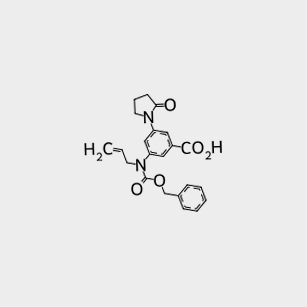 C=CCN(C(=O)OCc1ccccc1)c1cc(C(=O)O)cc(N2CCCC2=O)c1